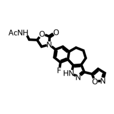 CC(=O)NCC1CN(c2cc(F)c3c(c2)CCCc2c(-c4ccno4)n[nH]c2-3)C(=O)O1